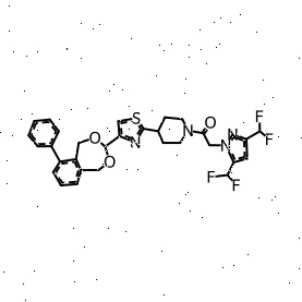 O=C(Cn1nc(C(F)F)cc1C(F)F)N1CCC(c2nc(C3OCc4cccc(-c5ccccc5)c4CO3)cs2)CC1